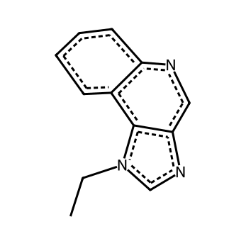 CCn1cnc2cnc3ccccc3c21